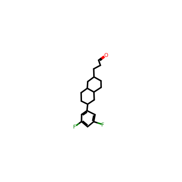 O=CCCC1CCC2CC(c3cc(F)cc(F)c3)CCC2C1